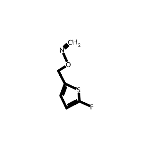 C=NOCc1ccc(F)s1